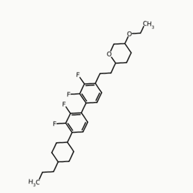 CCCC1CCC(c2ccc(-c3ccc(CCC4CCC(OCC)CO4)c(F)c3F)c(F)c2F)CC1